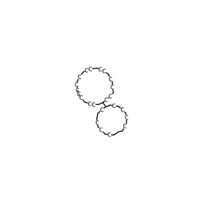 C1CCCCCCCCCCCC([C]2CCCCCCCCCCCCCCCCCCC2)CCCCCCCCCCC1